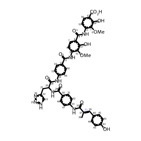 COc1c(NC(=O)c2ccc(NC(=O)c3ccc(NC(=O)C(Cc4c[nH]nn4)NC(=O)c4ccc(NC(=O)/C(C)=C/c5ccc(O)cc5)cc4)cc3)c(OC)c2O)ccc(C(=O)O)c1O